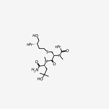 CCCC(=O)N(C)[C@H](CSCC[C@@H](CO)CCC)C(=O)N(C)[C@@H](CC(C)(C)O)C(N)=O